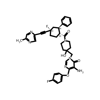 Cc1cnc(C#C[C@]2(F)CC[C@@H](C(=O)N3CCC(O)(Cn4cnc(Oc5ccc(F)cc5)c(N)c4=O)CC3)[C@H](c3ccccc3)C2)cn1